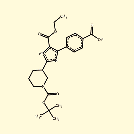 CCOC(=O)c1[nH]c(C2CCCN(C(=O)OC(C)(C)C)C2)nc1-c1ccc(C(=O)O)cc1